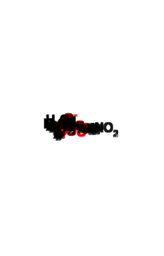 CC1(C)[C@H](C(=O)OC(c2ccccc2)c2ccccc2)N2C(=O)[C@@H](CCOC(=O)OCc3ccc([N+](=O)[O-])cc3)[C@H]2[S@+]1[O-]